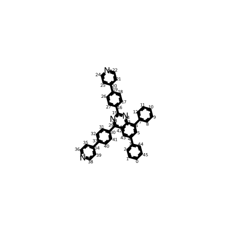 c1ccc(-c2cc(-c3ccccc3)c3nc(-c4ccc(-c5ccncc5)cc4)nc(-c4ccc(-c5ccncc5)cc4)c3c2)cc1